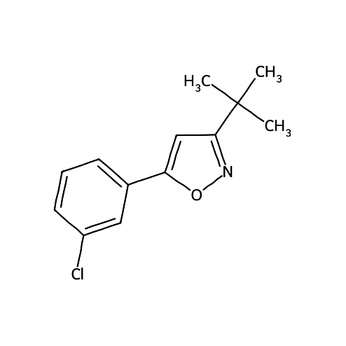 CC(C)(C)c1cc(-c2cccc(Cl)c2)on1